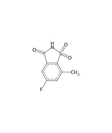 Cc1cc(F)cc2c1S(=O)(=O)NC2=O